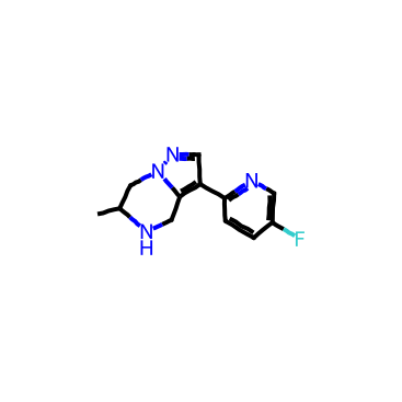 CC1Cn2ncc(-c3ccc(F)cn3)c2CN1